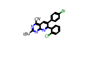 CC(C)(C)c1nc(C#N)c2cc(-c3ccc(Br)cc3)c(-c3ccccc3Cl)nc2n1